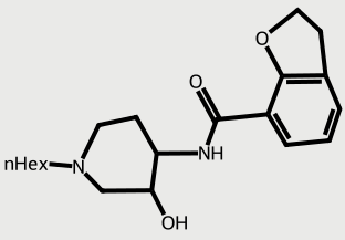 CCCCCCN1CCC(NC(=O)c2cccc3c2OCC3)C(O)C1